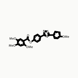 COc1ccc(-c2nc(-c3ccc(OC(=O)c4cc(OC)c(OC)cc4OC)cc3)ns2)cc1